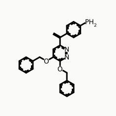 C=C(c1ccc(P)cc1)c1cc(OCc2ccccc2)c(OCc2ccccc2)nn1